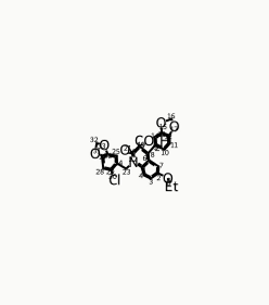 CCOc1ccc2c(c1)c(-c1ccc3c(c1)OCO3)c(C(=O)O)c(=O)n2Cc1cc2c(cc1Cl)OCO2